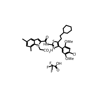 COc1cc(-c2nc(NC(=O)c3cc4cc(C)cc(C)c4n3CC(=O)O)sc2CCC2CCCCC2)c(OC)cc1Cl.O=C(O)C(F)(F)F